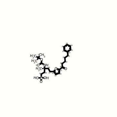 CC(C)(C)OC(=O)N[C@](C)(CCc1ccc(C(=O)CCCCc2ccccc2)o1)CCP(=O)(O)O